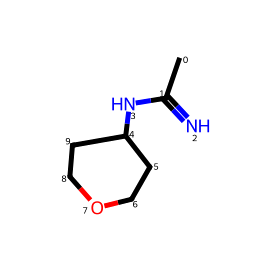 CC(=N)NC1CCOCC1